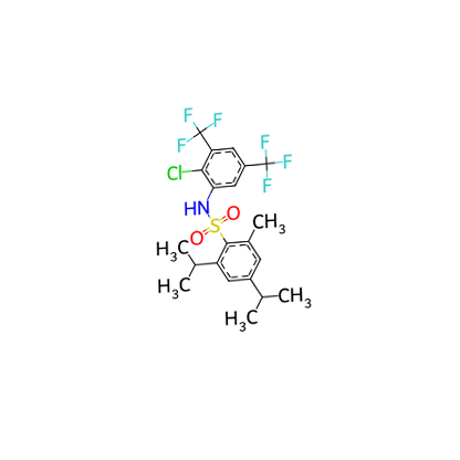 Cc1cc(C(C)C)cc(C(C)C)c1S(=O)(=O)Nc1cc(C(F)(F)F)cc(C(F)(F)F)c1Cl